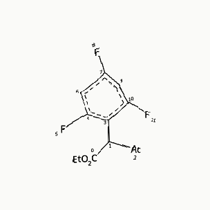 CCOC(=O)C(C(C)=O)c1c(F)cc(F)cc1F